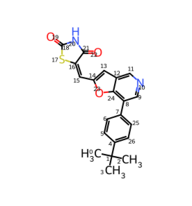 CC(C)(C)c1ccc(-c2cncc3cc(/C=C4/SC(=O)NC4=O)oc23)cc1